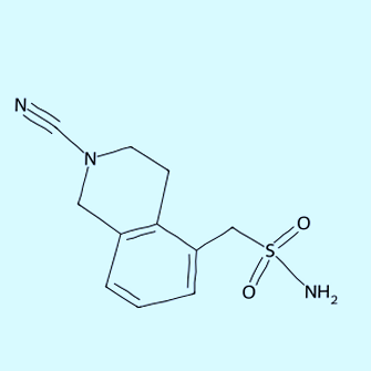 N#CN1CCc2c(cccc2CS(N)(=O)=O)C1